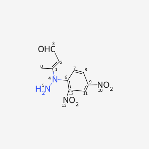 CC(=CC=O)N(N)c1ccc([N+](=O)[O-])cc1[N+](=O)[O-]